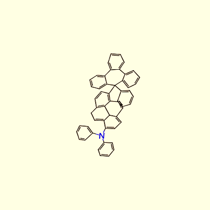 C1=Cc2c(C3(c4ccccc4)c4ccccc4-c4ccccc4-c4ccccc43)ccc3c2C2C1=CC=C(N(c1ccccc1)c1ccccc1)C2=CC3